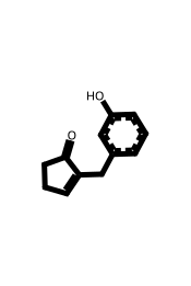 O=C1CCC=C1Cc1cccc(O)c1